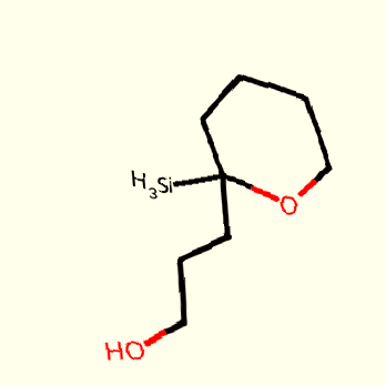 OCCCC1([SiH3])CCCCO1